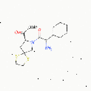 COC(=O)[C@@H]1CC2(CN1C(=O)C(N)C1CCCCC1)SCCS2